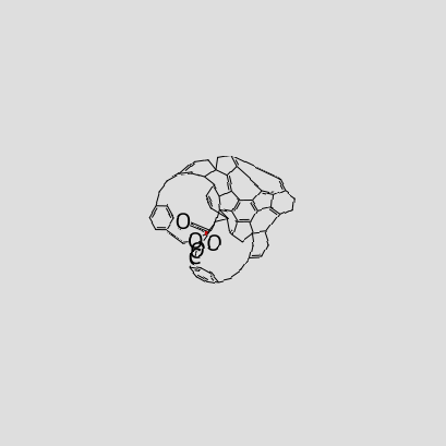 O=C1OCc2ccc(cc2)CCC2=CCC34Cc5cc6c7c8c5c3c3c5c9c%10c%11c(c58)C7=C(CC6)C5CC=C6CCc7ccc(cc7)COC(=O)C17C1(C=CC(C4C2)C3C917)C=C%10CC%115C6